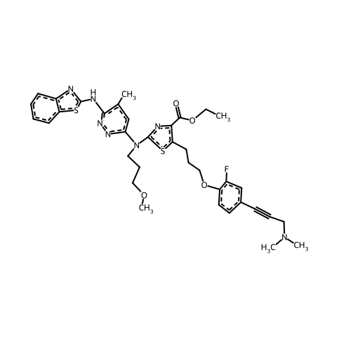 CCOC(=O)c1nc(N(CCCOC)c2cc(C)c(Nc3nc4ccccc4s3)nn2)sc1CCCOc1ccc(C#CCN(C)C)cc1F